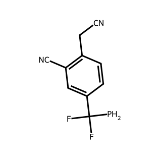 N#CCc1ccc(C(F)(F)P)cc1C#N